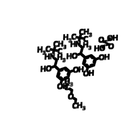 CC(C)(C)NCC(O)c1cc(O)cc(O)c1.CC(C)(C)NCC(O)c1cc(O)cc(O)c1.CCOCC.O=S(=O)(O)O